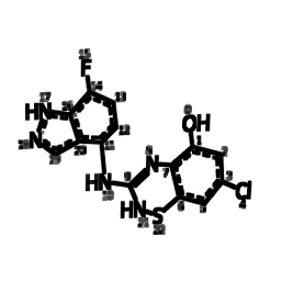 Oc1cc(Cl)cc2c1N=C(Nc1ccc(F)c3[nH]ncc13)NS2